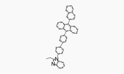 CCc1nc2ccccc2n1-c1ccc(-c2ccc(-c3c4ccccc4c(-c4ccc5ccccc5c4)c4ccccc34)cc2)cc1